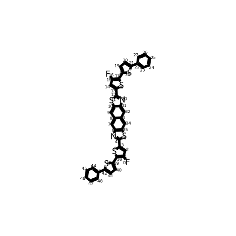 Fc1cc(-c2nc3cc4cc5sc(-c6cc(F)c(-c7ccc(-c8ccccc8)s7)s6)nc5cc4cc3s2)sc1-c1ccc(-c2ccccc2)s1